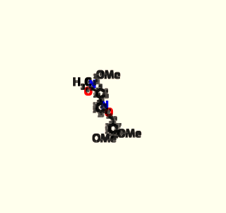 COCCN(C)C(=O)c1cccc(-c2cccc(OCCc3ccc(OC)c(OC)c3)n2)c1